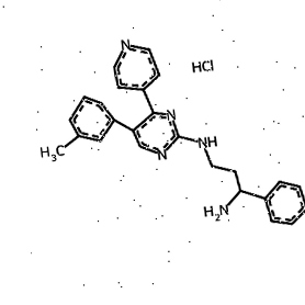 Cc1cccc(-c2cnc(NCCC(N)c3ccccc3)nc2-c2ccncc2)c1.Cl